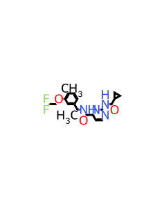 Cc1ccc(C(C)NC(=O)c2ccnc(NC(=O)C3CC3)n2)cc1OCC(F)F